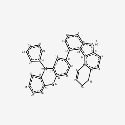 C1=Cc2c(ccc3[nH]c4cccc(-c5ccc6c(c5)N(c5ccccc5)c5ccccc5S6)c4c23)CC1